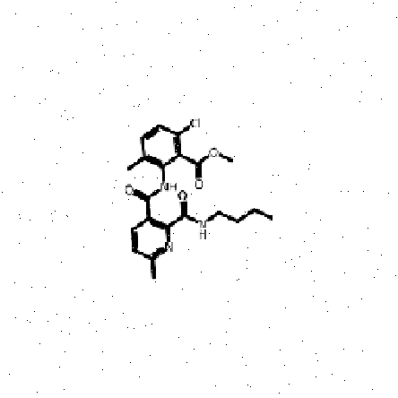 CCCCNC(=O)c1nc(C)ccc1C(=O)Nc1c(C)ccc(Cl)c1C(=O)OC